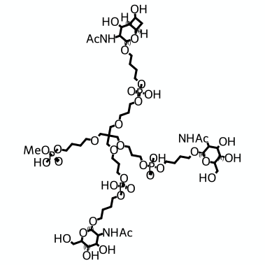 COP(=O)(O)OCCCCOCC(COCCCOP(=O)(O)OCCCCO[C@@H]1OC(CO)[C@H](O)C(O)C1NC(C)=O)(COCCCOP(=O)(O)OCCCCO[C@@H]1OC(CO)[C@H](O)C(O)C1NC(C)=O)COCCCOP(=O)(O)OCCCCO[C@@H]1O[C@@H]2CC(O)[C@@H]2C(O)C1NC(C)=O